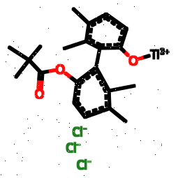 Cc1ccc([O][Ti+3])c(-c2c(OC(=O)C(C)(C)C)ccc(C)c2C)c1C.[Cl-].[Cl-].[Cl-]